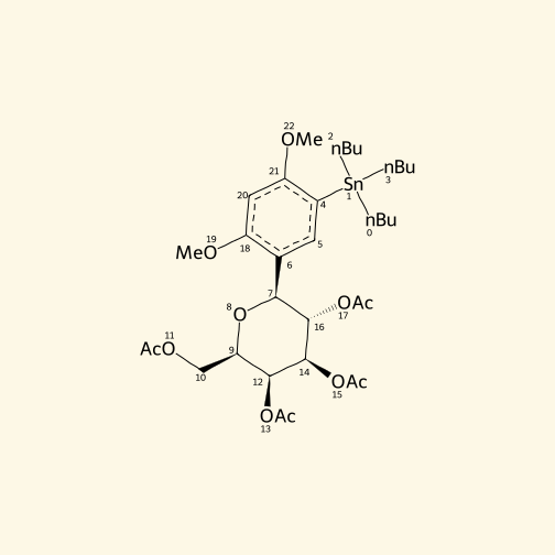 CCC[CH2][Sn]([CH2]CCC)([CH2]CCC)[c]1cc([C@@H]2O[C@H](COC(C)=O)[C@H](OC(C)=O)[C@H](OC(C)=O)[C@H]2OC(C)=O)c(OC)cc1OC